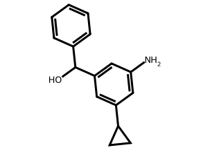 Nc1cc(C2CC2)cc(C(O)c2ccccc2)c1